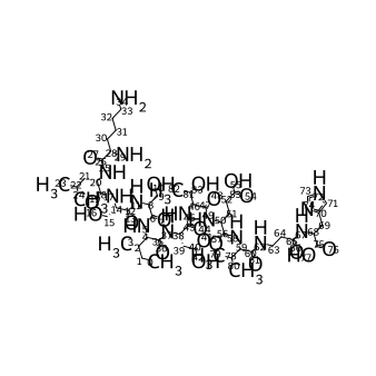 CC[C@H](C)[C@H](NC(=O)[C@H](CO)NC(=O)[C@H](CO)NC(=O)[C@H](CC(C)C)NC(=O)[C@@H](N)CCCCN)C(=O)N[C@@H](CC(=O)O)C(=O)N[C@H](C(=O)N[C@@H](CCC(=O)O)C(=O)N[C@H](C(=O)NCCC(=O)N[C@@H](Cc1c[nH]cn1)C(=O)O)C(C)C)[C@@H](C)O